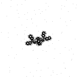 c1ccc2cc(N(c3ccc4ccccc4c3)c3ccc(-c4c5nccnc5c(-c5ccc(N(c6ccc7ccccc7c6)c6ccc7ccccc7c6)s5)c5nccnc45)s3)ccc2c1